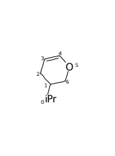 CC(C)C1CC=COC1